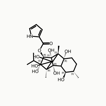 CC(C)[C@@]1(O)[C@@H](OC(=O)c2ccc[nH]2)[C@@]2(O)[C@@]3(C)CC(O)(O)[C@@]1(C)[C@]2(O)C1[C@H](O)[C@@H](C)CC[C@@]13O